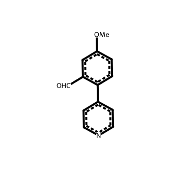 COc1ccc(-c2ccncc2)c(C=O)c1